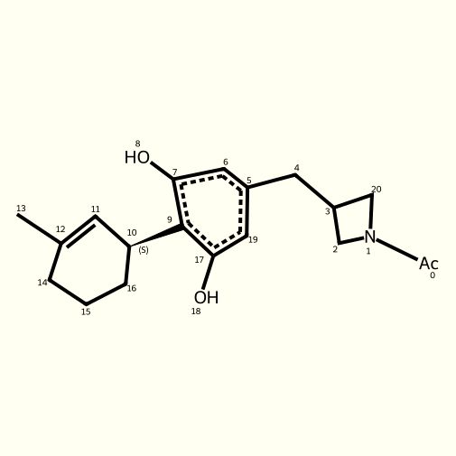 CC(=O)N1CC(Cc2cc(O)c([C@@H]3C=C(C)CCC3)c(O)c2)C1